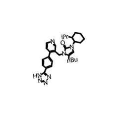 CCCCc1cn(C2CCCCC2C(C)C)c(=O)n1Cc1cnccc1-c1ccc(-c2nnn[nH]2)cc1